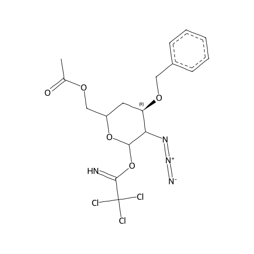 CC(=O)OCC1C[C@@H](OCc2ccccc2)C(N=[N+]=[N-])C(OC(=N)C(Cl)(Cl)Cl)O1